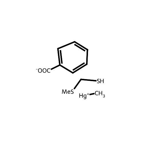 CSCS.O=C([O-])c1ccccc1.[CH3][Hg+]